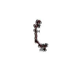 COc1cc(C(C)OC(=O)ON2C(=O)CCC2=O)c([N+](=O)[O-])cc1OCCCC(=O)NCCOCCOCCOCCn1cc(CCCCNC(=O)c2cccc(Oc3cc(CNC(=O)O)cc(C(F)(F)F)n3)c2)nn1